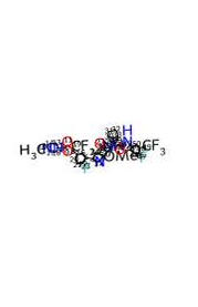 COc1ncc(-c2cc([C@H](OC(=O)N3CCN(C)CC3)C(F)(F)F)ccc2F)cc1C(=O)N[C@@H]1C2CCC(/C2=C/C2CC2)[C@@H]1C(=O)Nc1ccc(F)c(C(F)(F)F)c1